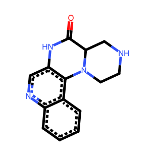 O=C1Nc2cnc3ccccc3c2N2CCNCC12